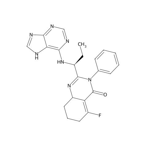 CC[C@H](Nc1ncnc2nc[nH]c12)C1=NC2CCCC(F)=C2C(=O)N1c1ccccc1